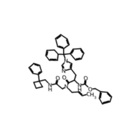 C/C=C/CN(CC(=O)NCC1(c2ccccc2)CCC1)C(=O)C(Cc1cn(C(c2ccccc2)(c2ccccc2)C2C=CC=CC2)cn1)NC(=O)OCc1ccccc1